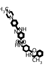 C[C@@H](NC(=O)C1CCC(NS(=O)(=O)c2ccc3[nH]c(-c4ccc(N5CCN(C)CC5)cc4)nc3c2)CC1)c1ccccc1